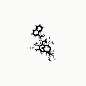 CC1=C[C@]23C(=O)[C@@H](C=C(CO)[C@@H](O)[C@]2(O)[C@H]1OC(=O)c1cccc2ccccc12)[C@H]1[C@@H](C[C@H]3C)C1(C)C